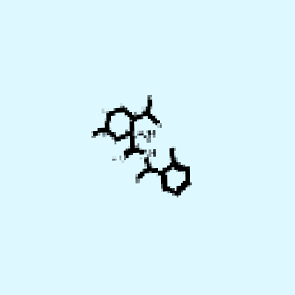 Cc1ccccc1C(C)NC(=O)[C@@]1(O)CC(C)CCC1C(C)C